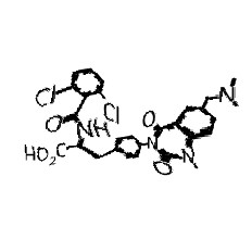 CN(C)Cc1ccc2c(c1)c(=O)n(-c1ccc(C[C@H](NC(=O)c3c(Cl)cccc3Cl)C(=O)O)cc1)c(=O)n2C